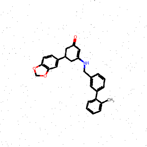 Cc1ccccc1-c1cccc(CNC2=CC(=O)CC(c3ccc4c(c3)OCO4)C2)c1